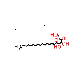 CCCCCCCCCCCCCC=CC1O[C@H](CO)[C@H](O)[C@H](O)[C@H]1O